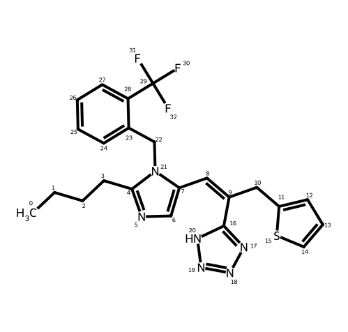 CCCCc1ncc(/C=C(/Cc2cccs2)c2nnn[nH]2)n1Cc1ccccc1C(F)(F)F